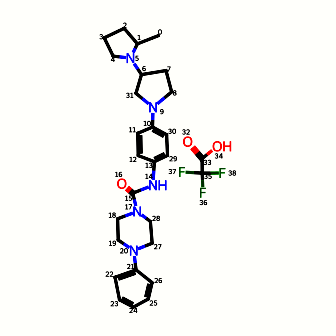 CC1CCCN1C1CCN(c2ccc(NC(=O)N3CCN(c4ccccc4)CC3)cc2)C1.O=C(O)C(F)(F)F